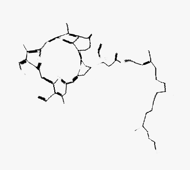 C=CC1=C(C)C2=NC1=CC1=NC(=C(CC)/C1=C/O)C=C1N=C3C(=C1C)C(=O)[C@H](C(=O)OC)C3=C1NC(=C2)[C@@H](C)[C@@H]1CCC(=O)OC/C=C(\C)CCC[C@H](C)CCC[C@H](C)CCCC(C)C